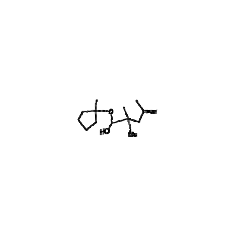 C=C(C)CC(C)(C(O)OC1(C)CCCC1)C(C)(C)C